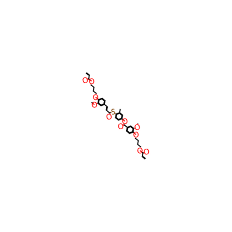 C=CC(=O)OCCCCOc1ccc(/C=C/C(=O)Sc2ccc(OC(=O)c3ccc(OCCCCOC(=O)C=C)c(OC)c3)cc2C)cc1OC